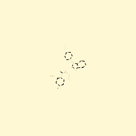 CCCN(Cc1nc2ccccc2n1-c1ccc(OC)cc1)C(=O)c1ccc(Cl)cc1OC